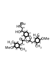 COc1cc(C)c(CC(=O)Oc2ccc(C(O)CNC(C)(C)C)cc2OC(=O)Cc2cc(C)c(OC)cc2C)cc1C